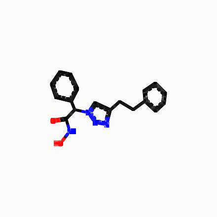 O=C(NO)C(c1ccccc1)n1cc(CCc2ccccc2)nn1